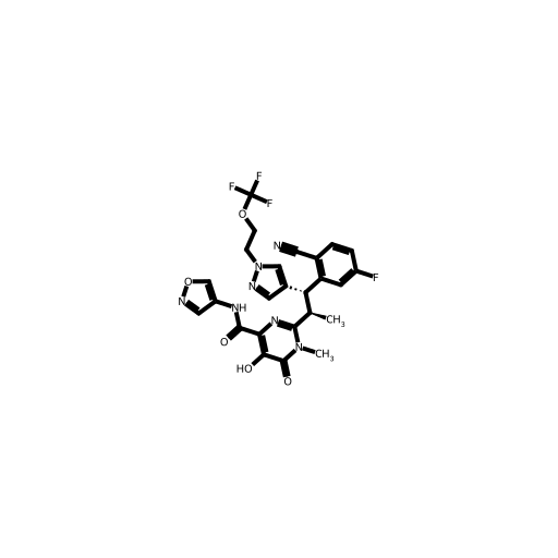 C[C@@H](c1nc(C(=O)Nc2cnoc2)c(O)c(=O)n1C)[C@H](c1cnn(CCOC(F)(F)F)c1)c1cc(F)ccc1C#N